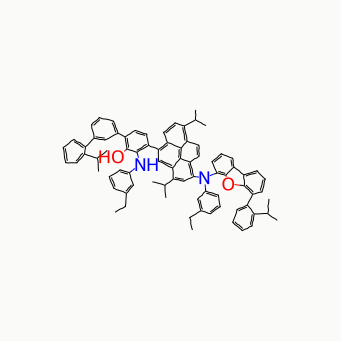 CCc1cccc(Nc2c(-c3cc4c(C(C)C)cc(N(c5cccc(CC)c5)c5cccc6c5oc5c(-c7ccccc7C(C)C)cccc56)c5ccc6c(C(C)C)ccc3c6c45)ccc(-c3cccc(-c4ccccc4C(C)C)c3)c2O)c1